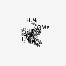 COC(=O)[C@H](CCCCN)NC(=O)[C@H](Cc1c[nH]c2ccccc12)NC(=O)[C@H](Cc1ccccc1)NC(=O)[C@H](C)N